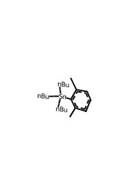 CCC[CH2][Sn]([CH2]CCC)([CH2]CCC)[c]1c(C)cccc1C